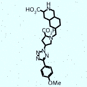 COc1ccc(-c2nnn(C3CC(C(=O)O)N(CC4CCC5CNC(C(=O)O)CC5C4)C3)n2)cc1